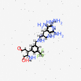 CNC(CO)C(CC=O)c1cc(CN/C=C(\C=N)Cc2cc(N)nc(NN)c2N)cc(C(F)(F)F)c1